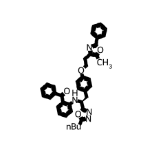 CCCCc1nnc([C@H](Cc2ccc(OCCc3nc(-c4ccccc4)oc3C)cc2)Nc2ccccc2C(=O)c2ccccc2)o1